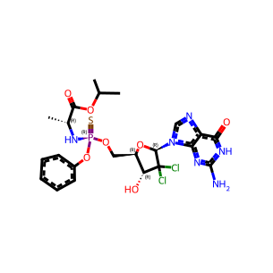 CC(C)OC(=O)[C@@H](C)N[P@@](=S)(OC[C@H]1O[C@@H](n2cnc3c(=O)[nH]c(N)nc32)C(Cl)(Cl)[C@@H]1O)Oc1ccccc1